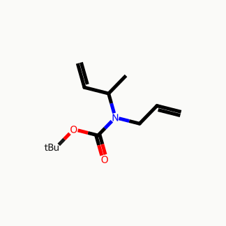 C=CCN(C(=O)OC(C)(C)C)C(C)C=C